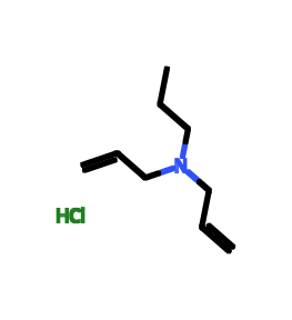 C=CCN(CC=C)CCC.Cl